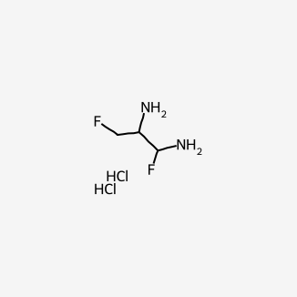 Cl.Cl.NC(F)C(N)CF